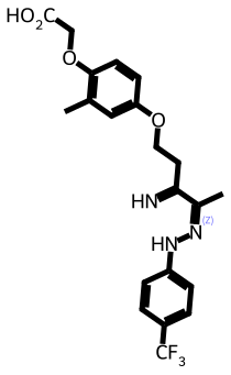 C/C(=N/Nc1ccc(C(F)(F)F)cc1)C(=N)CCOc1ccc(OCC(=O)O)c(C)c1